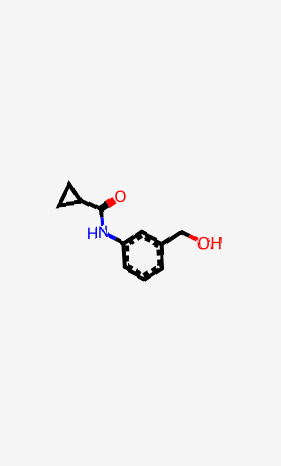 O=C(Nc1cccc(CO)c1)C1CC1